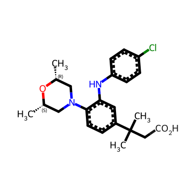 C[C@@H]1CN(c2ccc(C(C)(C)CC(=O)O)cc2Nc2ccc(Cl)cc2)C[C@H](C)O1